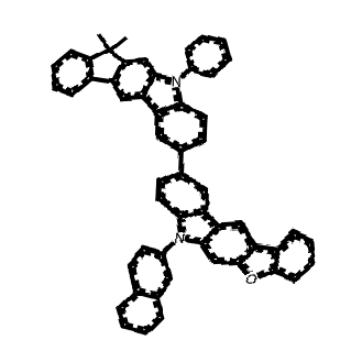 CC1(C)c2ccccc2-c2cc3c4cc(-c5ccc6c(c5)c5cc7c(cc5n6-c5ccc6ccccc6c5)oc5ccccc57)ccc4n(-c4ccccc4)c3cc21